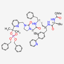 COC(=O)N[C@H](C(=O)N[C@H](C[CH][C@@H](Cc1ccccc1)NC(=O)[C@@H](N1CCN(Cc2cccc(C(C)(C)OP(=O)(OCc3ccccc3)OCc3ccccc3)n2)C1=O)C(C)(C)C)Cc1ccc(-c2ccccn2)cc1)C(C)(C)C